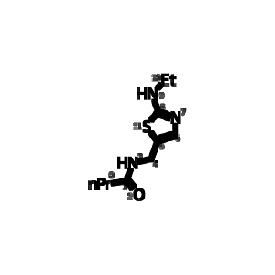 CCCC(=O)NCc1cnc(NCC)s1